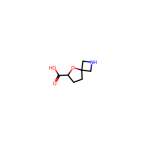 O=C(O)C1CCC2(CNC2)O1